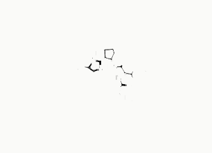 COC(=O)N[C@H](C(=O)N[C@H]1CCC[C@@H]1c1ncc(C)[nH]1)C(C)C